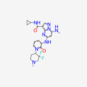 CNc1cc(Nc2cccn(C3CCN(C)CC3(F)F)c2=O)nc2c(C(=O)NC3CC3)cnn12